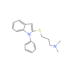 CN(C)CCCSc1cc2ccccc2n1-c1ccccc1